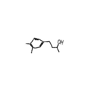 Cc1ccc(CCC(C)O)cc1C